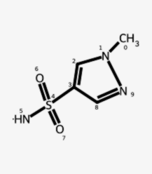 Cn1cc(S([NH])(=O)=O)cn1